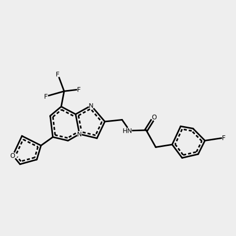 O=C(Cc1ccc(F)cc1)NCc1cn2cc(-c3ccoc3)cc(C(F)(F)F)c2n1